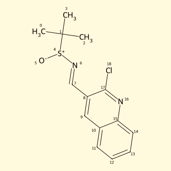 CC(C)(C)[S+]([O-])/N=C/c1cc2ccccc2nc1Cl